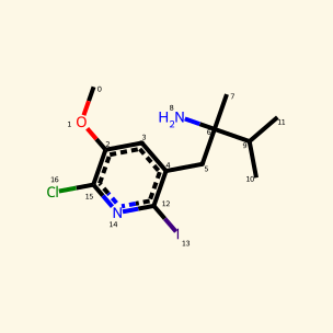 COc1cc(CC(C)(N)C(C)C)c(I)nc1Cl